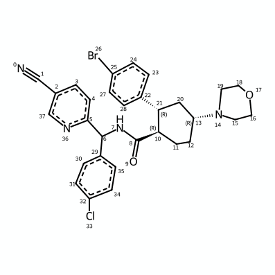 N#Cc1ccc(C(NC(=O)[C@@H]2CC[C@@H](N3CCOCC3)C[C@H]2c2ccc(Br)cc2)c2ccc(Cl)cc2)nc1